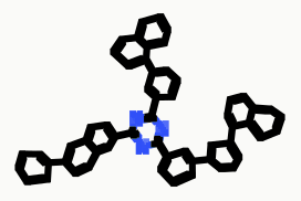 c1ccc(-c2ccc3cc(-c4nc(-c5cccc(-c6cccc(-c7cccc8ccccc78)c6)c5)nc(-c5cccc(-c6cccc7ccccc67)c5)n4)ccc3c2)cc1